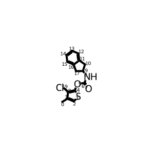 Cc1csc(OC(=O)NC2Cc3ccccc3C2)c1Cl